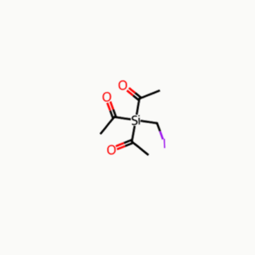 CC(=O)[Si](CI)(C(C)=O)C(C)=O